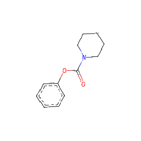 O=C(Oc1ccccc1)N1CC[CH]CC1